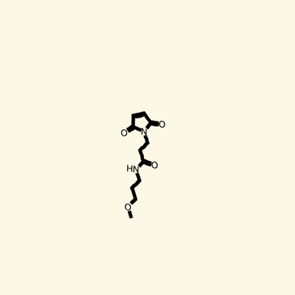 COCCCNC(=O)CCN1C(=O)C=CC1=O